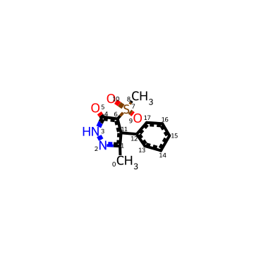 Cc1n[nH]c(=O)c(S(C)(=O)=O)c1-c1ccccc1